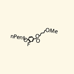 CCCCCOc1ccc(C(=O)OCCCCOC)cc1F